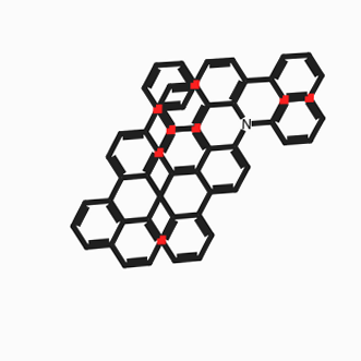 c1ccc(-c2ccc3c(c2)C2(c4ccccc4-c4ccc(N(c5ccccc5)c5c(-c6ccccc6)ccc6ccccc56)c5cccc2c45)c2cccc4cccc-3c24)cc1